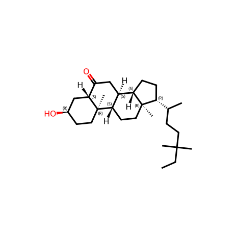 CCC(C)(C)CCC(C)[C@H]1CC[C@H]2[C@@H]3CC(=O)[C@H]4C[C@H](O)CC[C@]4(C)[C@H]3CC[C@]12C